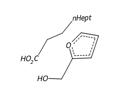 CCCCCCCCCC(=O)O.OCc1ccco1